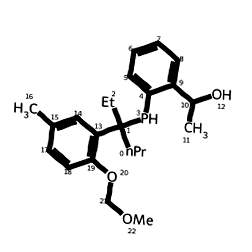 CCCC(CC)(Pc1ccccc1C(C)O)c1cc(C)ccc1OCOC